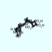 CCC(=O)NCCNC(=O)/N=C(/N)NCCC[C@H](C(=O)NCc1ccc(O)cc1)N(C)C(=O)Cc1ccc(NCCCNc2c(NCCNC(=O)CN3CCN(CC(=O)O)CCN(CC(=O)O)CCN(CC(=O)O)CC3)c(=O)c2=O)cc1